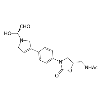 CC(=O)NC[C@H]1CN(c2ccc(C3=CCN([C@@H](O)C=O)C3)cc2)C(=O)O1